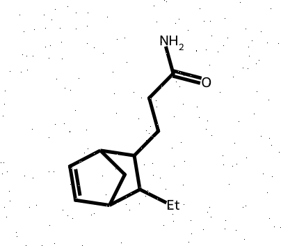 CCC1C2C=CC(C2)C1CCC(N)=O